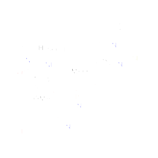 C=CCN1CC(S)Nc2cc(OCCP(=O)(CCOc3cc4c(cc3OC)C(=O)N3CC(=C)C[C@H]3C(S(=O)(=O)O)N4)N(C)CCN(C)C(=O)CCCO)c(OC)cc2C1=O